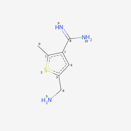 Cc1sc(CN)cc1C(=N)N